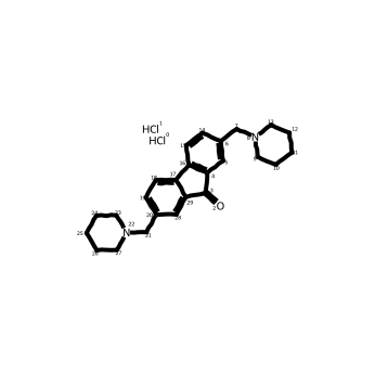 Cl.Cl.O=C1c2cc(CN3CCCCC3)ccc2-c2ccc(CN3CCCCC3)cc21